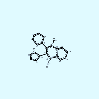 [O-][n+]1c(-c2ccccc2)c(-c2cccs2)[n+]([O-])c2ccccc21